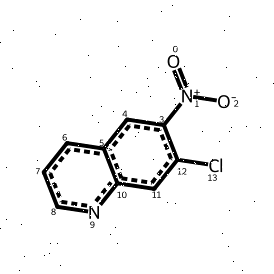 O=[N+]([O-])c1cc2cccnc2cc1Cl